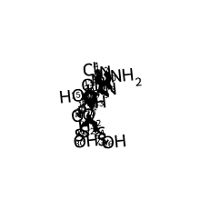 Nc1nc(Cl)nc2c1N=CC2[C@H]1[C@H](O)[C@H](O)[C@@]2(C[PH](=O)OC(CCSSO)CSSO)C[C@H]12